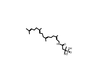 CC(C)=CCCC(C)=CCCC(C)=CCCC(C)=CCNC(=O)CC(C)(C)P(=O)(O)O